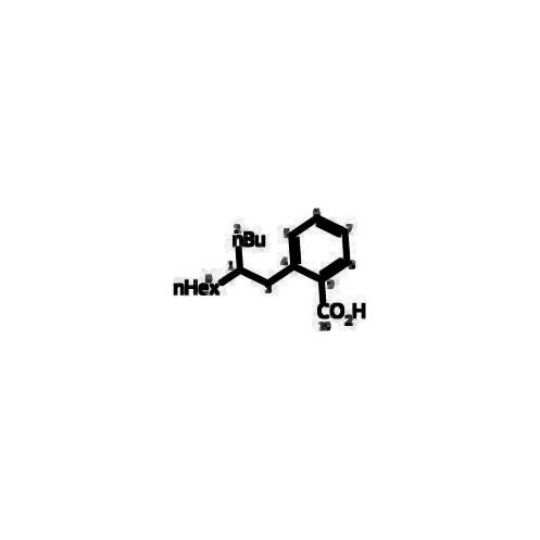 CCCCCCC(CCCC)Cc1ccccc1C(=O)O